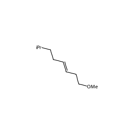 COCC/C=C/CCC(C)C